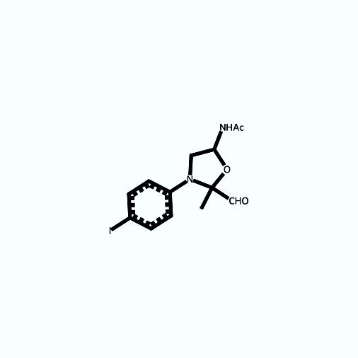 CC(=O)NC1CN(c2ccc(I)cc2)C(C)(C=O)O1